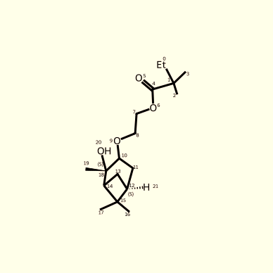 CCC(C)(C)C(=O)OCCOC1C[C@@H]2CC(C2(C)C)[C@]1(C)O